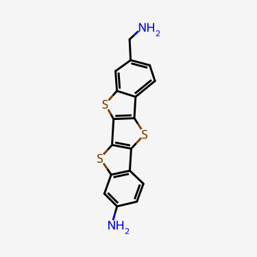 NCc1ccc2c(c1)sc1c2sc2c3ccc(N)cc3sc21